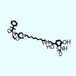 CC(C)(C(=O)N1CCOC2(CCN(CCCCCCCCCNC[C@H](O)c3ccc(O)c4[nH]c(=O)sc34)CC2)C1)c1ccccc1